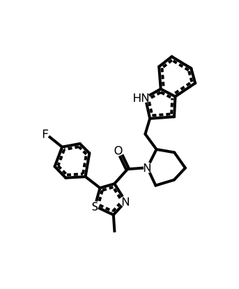 Cc1nc(C(=O)N2CCCCC2Cc2cc3ccccc3[nH]2)c(-c2ccc(F)cc2)s1